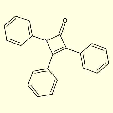 O=C1C(c2ccccc2)=C(c2ccccc2)N1c1ccccc1